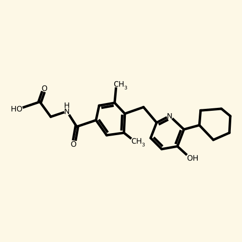 Cc1cc(C(=O)NCC(=O)O)cc(C)c1Cc1ccc(O)c(C2CCCCC2)n1